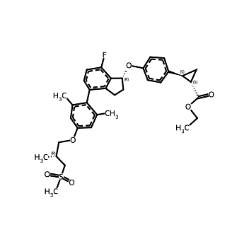 CCOC(=O)[C@H]1C[C@@H]1c1ccc(O[C@@H]2CCc3c(-c4c(C)cc(OC[C@@H](C)CS(C)(=O)=O)cc4C)ccc(F)c32)cc1